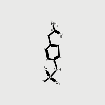 CS(=O)(=O)Nc1ccc(CC(N)=O)cc1